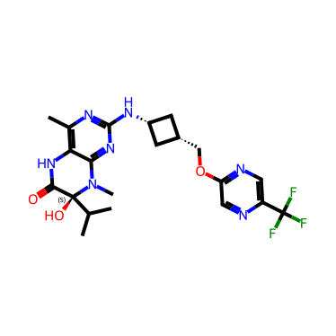 Cc1nc(N[C@H]2C[C@@H](COc3cnc(C(F)(F)F)cn3)C2)nc2c1NC(=O)[C@@](O)(C(C)C)N2C